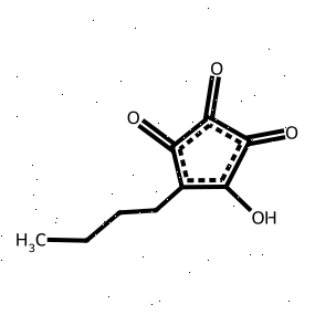 CCCCc1c(O)c(=O)c(=O)c1=O